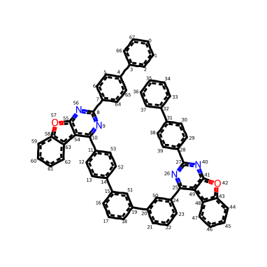 c1ccc(-c2ccc(-c3nc(-c4ccc(-c5cccc(-c6cccc(-c7nc(-c8ccc(-c9ccccc9)cc8)nc8oc9ccccc9c78)c6)c5)cc4)c4c(n3)oc3ccccc34)cc2)cc1